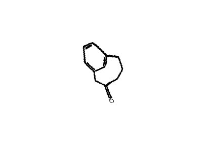 O=C1CCCc2cccc(c2)C1